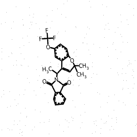 CC(C1=CC(C)(C)Oc2ccc(OC(F)(F)F)cc21)N1C(=O)c2ccccc2C1=O